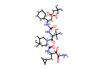 CC1CN(C(=O)[C@@H](NC(=O)N[C@H](CS(=O)(=O)CC(C)(C)C)C2CCCCC2)C(C)(C)C)[C@H](C(=O)NC(CC2CC2)C(=O)C(N)=O)CC1(C)C